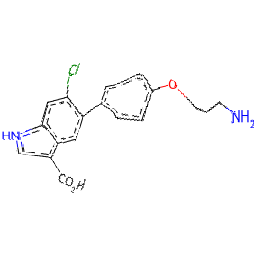 NCCOc1ccc(-c2cc3c(C(=O)O)c[nH]c3cc2Cl)cc1